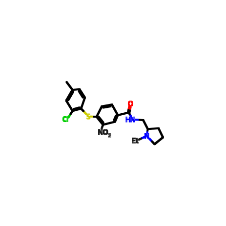 CCN1CCCC1CNC(=O)c1ccc(Sc2ccc(C)cc2Cl)c([N+](=O)[O-])c1